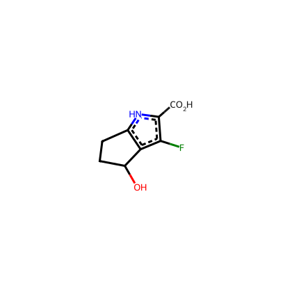 O=C(O)c1[nH]c2c(c1F)C(O)CC2